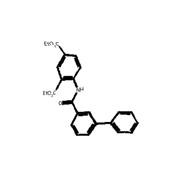 CCOC(=O)c1ccc(NC(=O)c2cccc(-c3ccccc3)c2)c(C(=O)OCC)c1